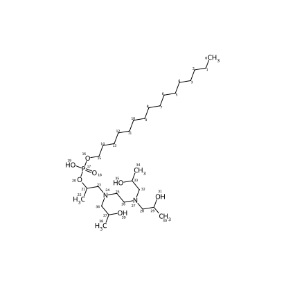 CCCCCCCCCCCCCCCCOP(=O)(O)OC(C)CN(CCN(CC(C)O)CC(C)O)CC(C)O